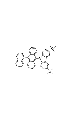 C[Si](C)(C)c1ccc2c(c1)c1cc([Si](C)(C)C)ccc1n2-c1c2ccccc2c(-c2cccc3ccccc23)c2ccccc12